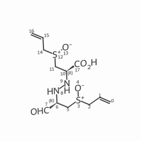 C=CC[S+]([O-])C[C@@H](C=O)NN[C@@H](C[S+]([O-])CC=C)C(=O)O